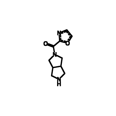 O=C(c1ncco1)N1CC2CNCC2C1